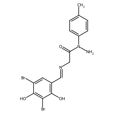 Cc1ccc(N(N)C(=O)CN=Cc2cc(Br)c(O)c(Br)c2O)cc1